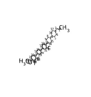 C/C=C/C1CCC(C2CCC(c3ccc(-c4ccc(-c5ccc(OC)c(F)c5F)cc4)cc3F)CC2)CC1